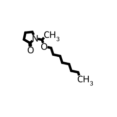 CCCCCCCCOC(C)N1CCCC1=O